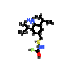 CC(C)c1cc(CSNC(=O)F)cc(C(C)C)c1N